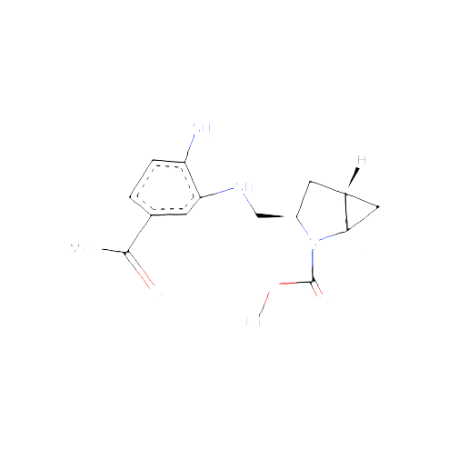 COC(=O)c1ccc(N)c(NC[C@H]2C[C@@H]3C[C@H]3N2C(=O)OC(C)(C)C)c1